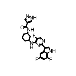 O=C(NC1CCC[C@H](Nc2nc(-c3c[nH]c4c(F)cc(F)cc34)ncc2F)C1)c1cn[nH]c1